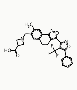 Cc1cc2c(cc1CN1CC(C(=O)O)C1)CCc1c-2noc1-c1noc(-c2ccccc2)c1C(F)(F)F